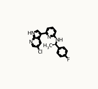 C[C@@H](Nc1cccc(-c2c[nH]c3ncc(Cl)cc23)n1)c1ccc(F)cc1